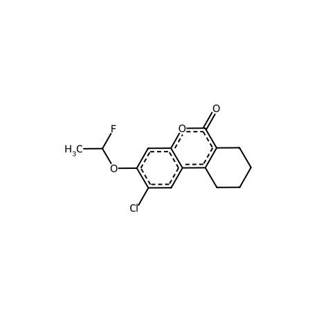 CC(F)Oc1cc2oc(=O)c3c(c2cc1Cl)CCCC3